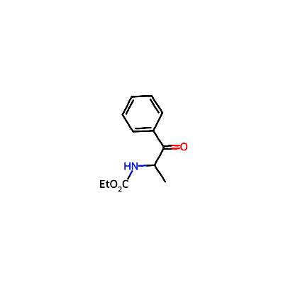 CCOC(=O)NC(C)C(=O)c1ccccc1